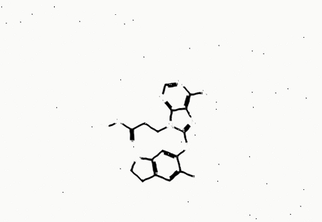 CCNC(=O)CCn1c(Sc2cc3c(cc2I)CCO3)nc2c(N)ncnc21